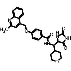 Cc1cc(COc2ccc(C(=O)NC(C3CCOCC3)C3NC(=O)NC3=O)cc2)c2ccccc2n1